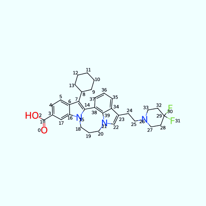 O=C(O)c1ccc2c(C3CCCCC3)c3n(c2c1)CCCn1cc(CCN2CCC(F)(F)CC2)c2cccc-3c21